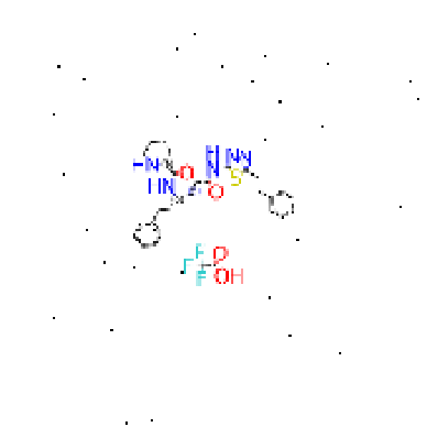 O=C(/C=C/[C@H](CCc1ccccc1)NC(=O)[C@@H]1CCCCN1)Nc1nnc(CCc2ccccc2)s1.O=C(O)C(F)(F)F